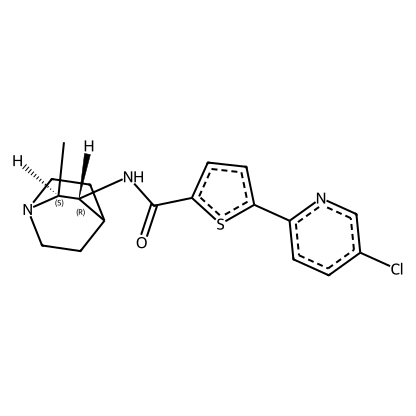 C[C@H]1[C@H](NC(=O)c2ccc(-c3ccc(Cl)cn3)s2)C2CCN1CC2